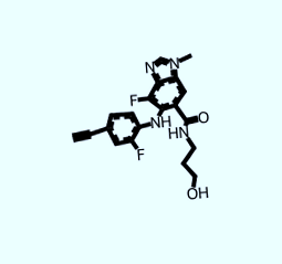 C#Cc1ccc(Nc2c(C(=O)NCCCO)cc3c(ncn3C)c2F)c(F)c1